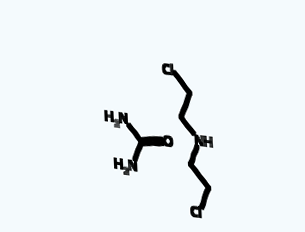 ClCCNCCCl.NC(N)=O